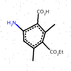 CCOC(=O)c1c(C)cc(N)c(C(=O)O)c1C